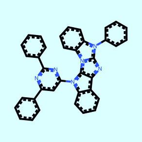 c1ccc(-c2cc(-n3c4ccccc4c4nc5n(-c6ccccc6)c6ccccc6n5c43)nc(-c3ccccc3)n2)cc1